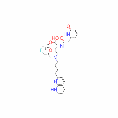 COC(CF)CN(CCCCc1ccc2c(n1)NCCC2)CCC(NC(=O)Cc1cccc(=O)[nH]1)C(=O)O